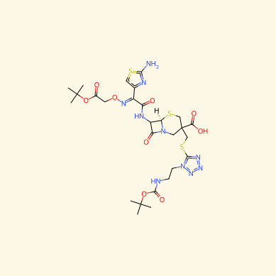 CC(C)(C)OC(=O)CON=C(C(=O)NC1C(=O)N2CC(CSc3nnnn3CCNC(=O)OC(C)(C)C)(C(=O)O)CS[C@H]12)c1csc(N)n1